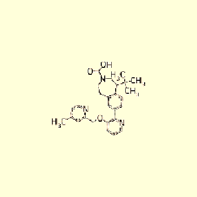 Cc1ccnc(COc2cccnc2-c2ccc3c(c2)CCN(C(=O)O)CC3C(C)(C)C)c1